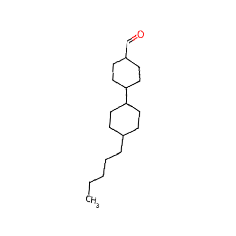 CCCCCC1CCC(C2CCC(C=O)CC2)CC1